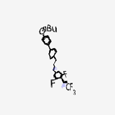 CCCCOc1ccc(-c2ccc(CC/C=C/c3cc(F)c(/C=C/C(F)(F)F)c(F)c3)cc2)cc1